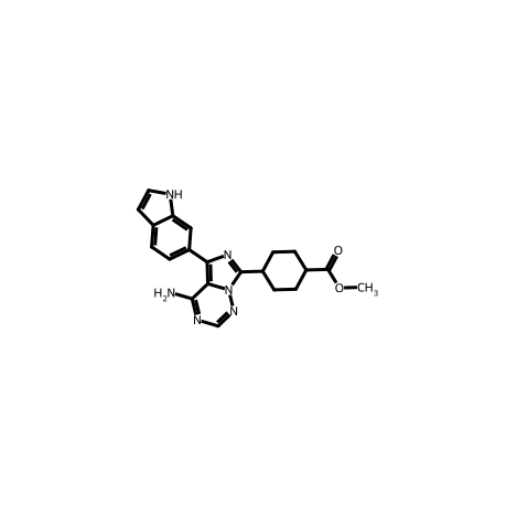 COC(=O)C1CCC(c2nc(-c3ccc4cc[nH]c4c3)c3c(N)ncnn23)CC1